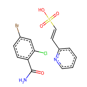 NC(=O)c1ccc(Br)cc1Cl.O=S(=O)(O)/C=C/c1ccccn1